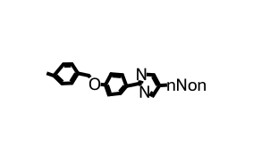 CCCCCCCCCc1cnc(-c2ccc(OCc3ccc(C)cc3)cc2)nc1